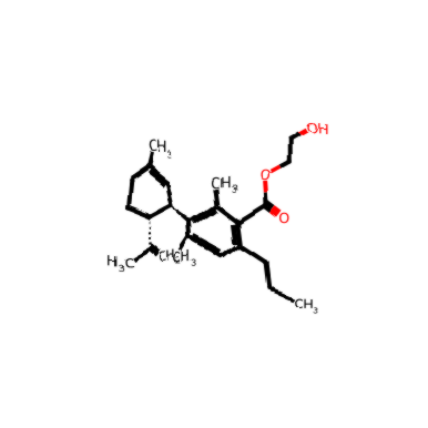 C=C(C)[C@@H]1CCC(C)=C[C@H]1c1c(C)cc(CCC)c(C(=O)OCCO)c1C